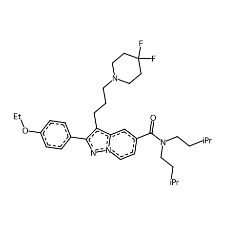 CCOc1ccc(-c2nn3ccc(C(=O)N(CCC(C)C)CCC(C)C)cc3c2CCCN2CCC(F)(F)CC2)cc1